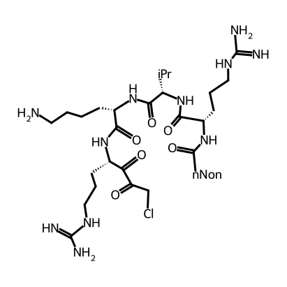 CCCCCCCCCC(=O)N[C@@H](CCCNC(=N)N)C(=O)N[C@H](C(=O)N[C@@H](CCCCN)C(=O)N[C@@H](CCCNC(=N)N)C(=O)C(=O)CCl)C(C)C